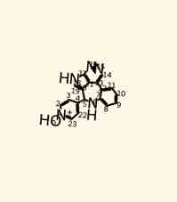 O[n+]1ccc(C2Nc3ccccc3-c3cnnc4[nH]cc2c34)cc1